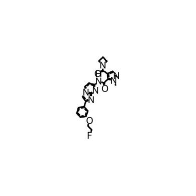 Cn1ncc(C(=O)N2CCC2)c1C(=O)Nc1ccn2cc(-c3cccc(OCCF)c3)nc2n1